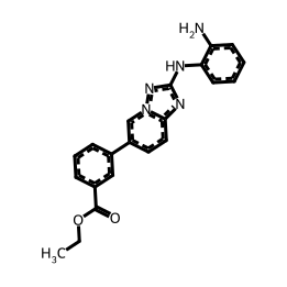 CCOC(=O)c1cccc(-c2ccc3nc(Nc4ccccc4N)nn3c2)c1